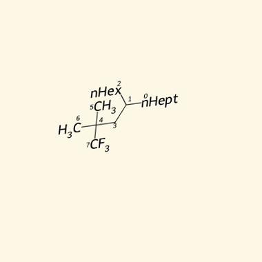 CCCCCCCC(CCCCCC)CC(C)(C)C(F)(F)F